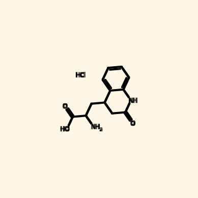 Cl.NC(CC1CC(=O)Nc2ccccc21)C(=O)O